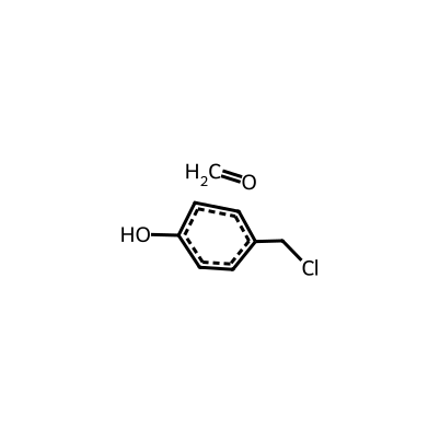 C=O.Oc1ccc(CCl)cc1